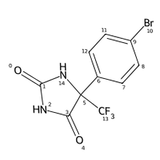 O=C1NC(=O)C(c2ccc(Br)cc2)(C(F)(F)F)N1